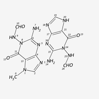 Cn1cnc2nc(N)n(NC=O)c(=O)c21.Nc1nc2nc[nH]c2c(=O)n1NC=O